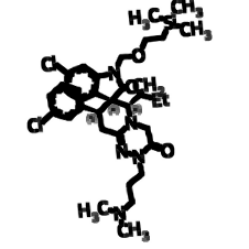 C=C(CC)[C@H]1N2CC(=O)N(CCCN(C)C)N=C2C[C@@H](c2cccc(Cl)c2)[C@]12C(=O)N(COCC[Si](C)(C)C)c1cc(Cl)ccc12